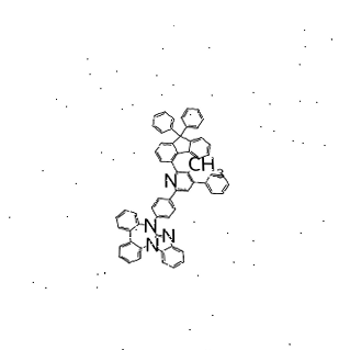 Cc1c(-c2ccccc2)cc(-c2ccc(N3c4ccccc4-c4ccccc4-n4c3nc3ccccc34)cc2)nc1-c1cccc2c1-c1ccccc1C2(c1ccccc1)c1ccccc1